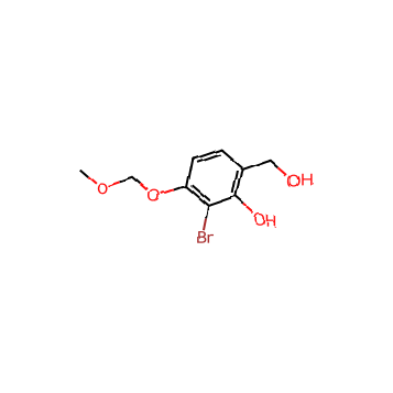 COCOc1ccc(CO)c(O)c1Br